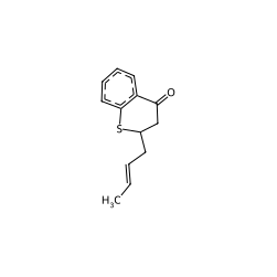 C/C=C/CC1CC(=O)c2ccccc2S1